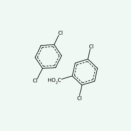 Clc1ccc(Cl)cc1.O=C(O)c1cc(Cl)ccc1Cl